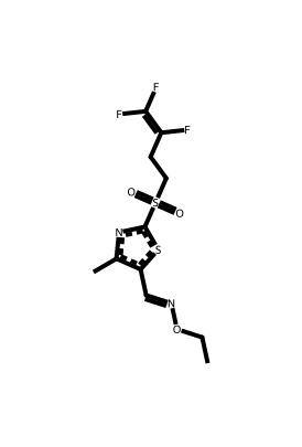 CCO/N=C/c1sc(S(=O)(=O)CCC(F)=C(F)F)nc1C